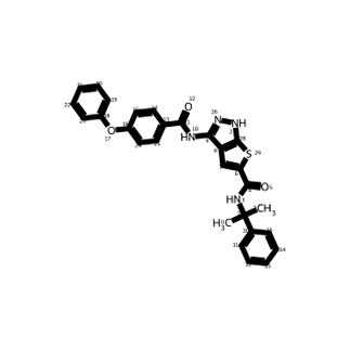 CC(C)(NC(=O)c1cc2c(NC(=O)c3ccc(Oc4ccccc4)cc3)n[nH]c2s1)c1ccccc1